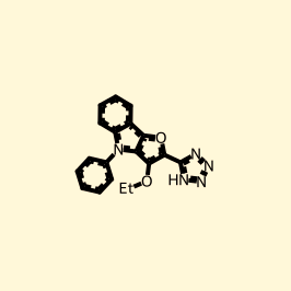 CCOc1c(-c2nnn[nH]2)oc2c3ccccc3n(-c3ccccc3)c12